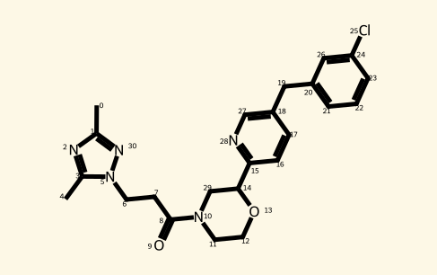 Cc1nc(C)n(CCC(=O)N2CCOC(c3ccc(Cc4cccc(Cl)c4)cn3)C2)n1